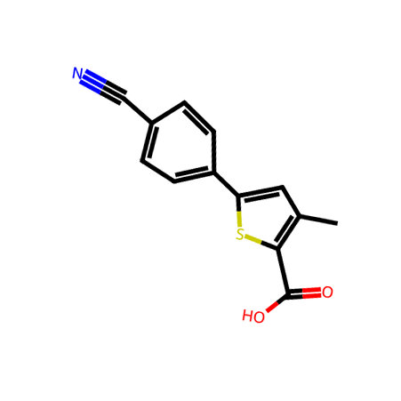 Cc1cc(-c2ccc(C#N)cc2)sc1C(=O)O